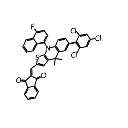 CC1(C)c2cc(-c3c(Cl)cc(Cl)cc3Cl)ccc2N(c2ccc(F)c3ccccc23)c2sc(C=C3C(=O)c4ccccc4C3=O)cc21